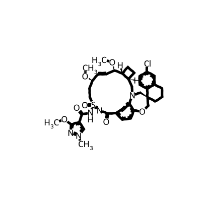 COc1nn(C)cc1C(=O)NS1(=O)=NC(=O)c2ccc3c(c2)N(C[C@@H]2CC[C@H]2[C@@H](OC)/C=C/[C@@H](OC)CC1)C[C@@]1(CCCc2cc(Cl)ccc21)CO3